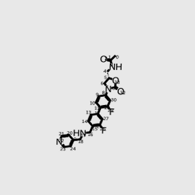 CC(=O)NC[C@H]1CN(c2ccc(-c3ccc(CNCc4ccncc4)c(F)c3)c(F)c2)C(=O)O1